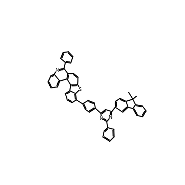 CC1(C)c2ccccc2-c2cc(-c3cc(-c4ccc(-c5cccc6c5sc5ccc7c(-c8ccccc8)nc8ccccc8c7c56)cc4)nc(-c4ccccc4)n3)ccc21